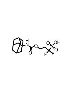 O=C(NC12CC3CC(CC(C3)C1)C2)OCCC(F)(F)S(=O)(=O)O